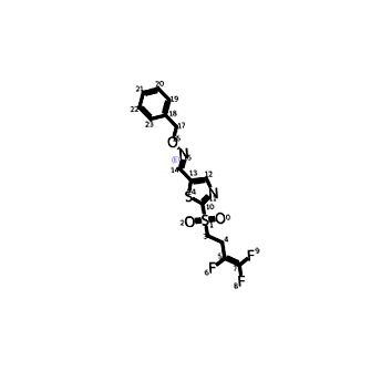 O=S(=O)(CCC(F)=C(F)F)c1ncc(/C=N/OCc2ccccc2)s1